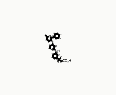 Cc1ccc(Oc2ccnc(Nc3cccc(C(C)(C)CC(=O)O)c3)c2)c(-c2ccccc2)n1